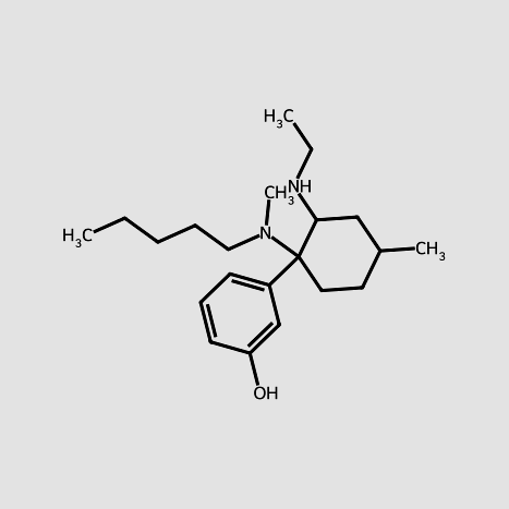 CCCCCN(C)C1(c2cccc(O)c2)CCC(C)CC1NCC